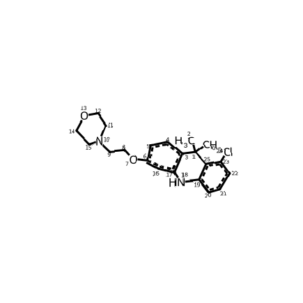 CC1(C)c2ccc(OCCN3CCOCC3)cc2Nc2cccc(Cl)c21